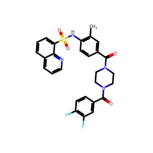 Cc1cc(C(=O)N2CCN(C(=O)c3ccc(F)c(F)c3)CC2)ccc1NS(=O)(=O)c1cccc2cccnc12